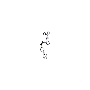 COC(=O)/C=C/c1ccccc1N=C=Nc1ccc(N2CCOCC2)cc1